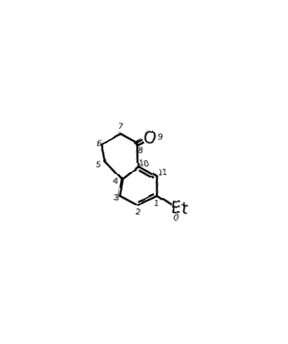 CCC1=CCC2CCCC(=O)C2=C1